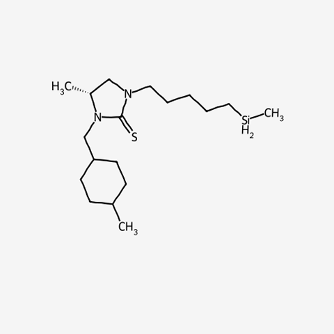 C[SiH2]CCCCCN1C[C@@H](C)N(CC2CCC(C)CC2)C1=S